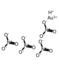 O=[N+]([O-])[O-].O=[N+]([O-])[O-].O=[N+]([O-])[O-].O=[N+]([O-])[O-].[Au+3].[H+]